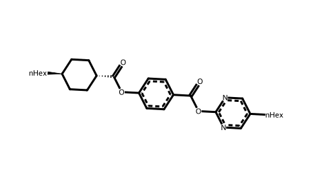 CCCCCCc1cnc(OC(=O)c2ccc(OC(=O)[C@H]3CC[C@H](CCCCCC)CC3)cc2)nc1